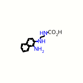 Nc1c(NCCNC(=O)O)ccc2ccccc12